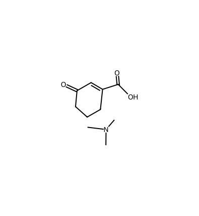 CN(C)C.O=C1C=C(C(=O)O)CCC1